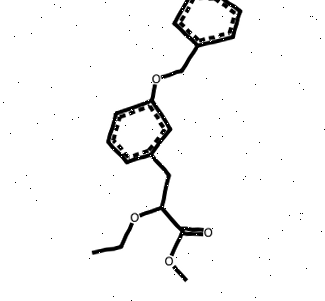 CCOC(Cc1cccc(OCc2ccccc2)c1)C(=O)OC